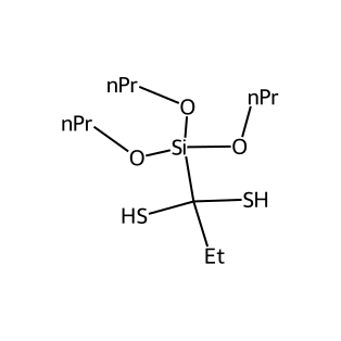 CCCO[Si](OCCC)(OCCC)C(S)(S)CC